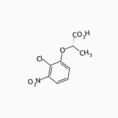 C[C@H](Oc1cccc([N+](=O)[O-])c1Cl)C(=O)O